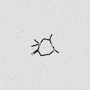 CC1CN(C)CCC(=O)[Si](C)(C)C1